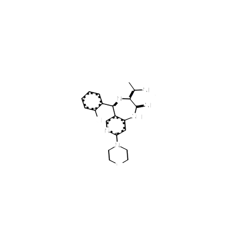 C/C(N)=C1\N=C(c2ccccc2Cl)c2cnc(N3CCOCC3)cc2NC1=N